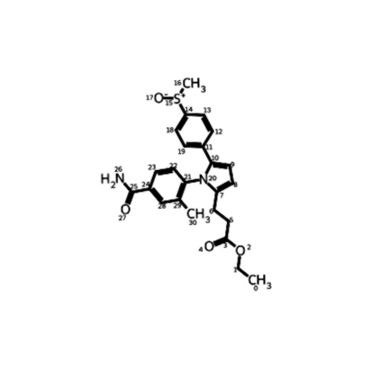 CCOC(=O)CCc1ccc(-c2ccc([S+](C)[O-])cc2)n1-c1ccc(C(N)=O)cc1C